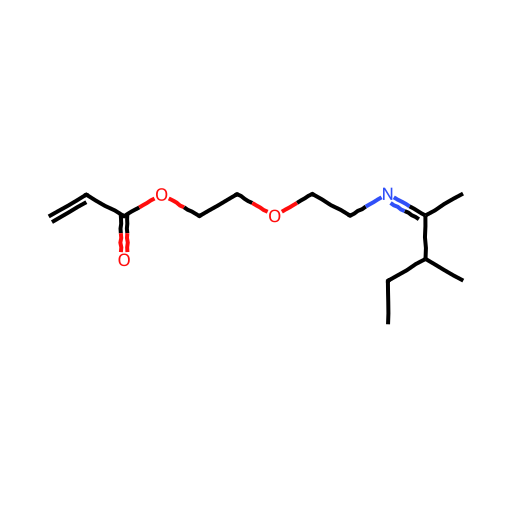 C=CC(=O)OCCOCCN=C(C)C(C)CC